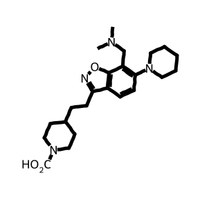 CN(C)Cc1c(N2CCCCC2)ccc2c(CCC3CCN(C(=O)O)CC3)noc12